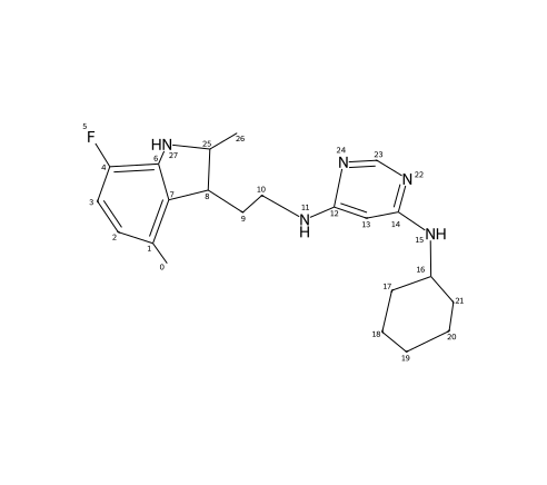 Cc1ccc(F)c2c1C(CCNc1cc(NC3CCCCC3)ncn1)C(C)N2